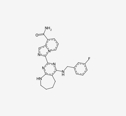 NC(=O)c1cccn2c(-c3nc4c(c(NCc5cccc(F)c5)n3)CCCCN4)ncc12